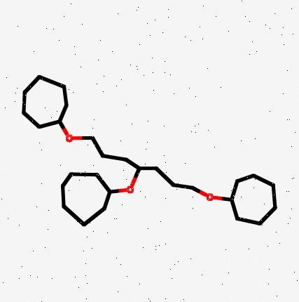 C1CCCC(OCCC[C](CCCOC2CCCCCC2)OC2CCCCCC2)CC1